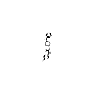 O=C(C[C@H]1CC[C@@H](Oc2ccccc2)CC1)Nc1ccc(F)cc1